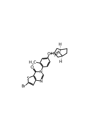 Cc1cc(O[C@H]2C[C@H]3CC[C@@H](C2)N3C)ccc1-n1cnc2cc(Br)sc2c1=O